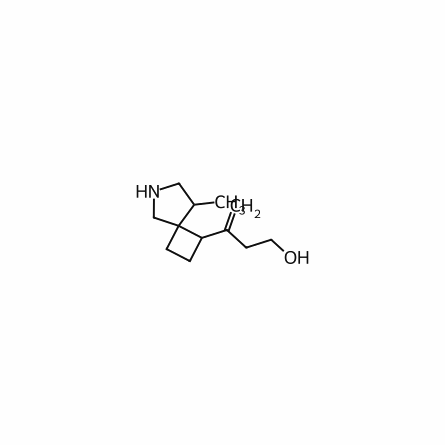 C=C(CCO)C1CCC12CNCC2C